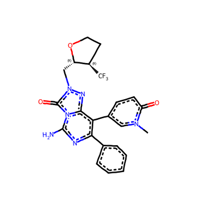 Cn1cc(-c2c(-c3ccccc3)nc(N)n3c(=O)n(C[C@@H]4OCC[C@H]4C(F)(F)F)nc23)ccc1=O